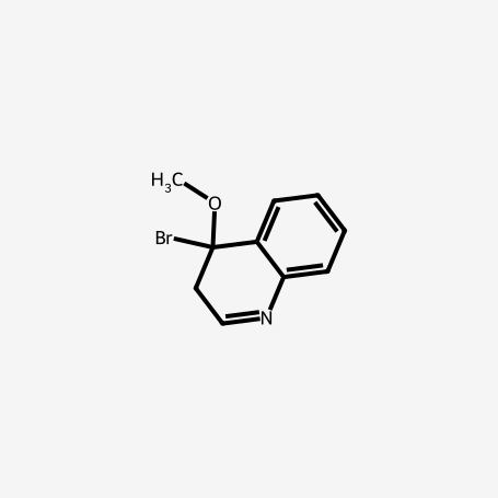 COC1(Br)CC=Nc2ccccc21